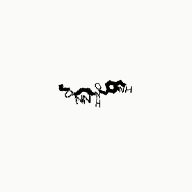 CCCOc1ccc(NC(=O)Cc2ccc3cc[nH]c3c2)nn1